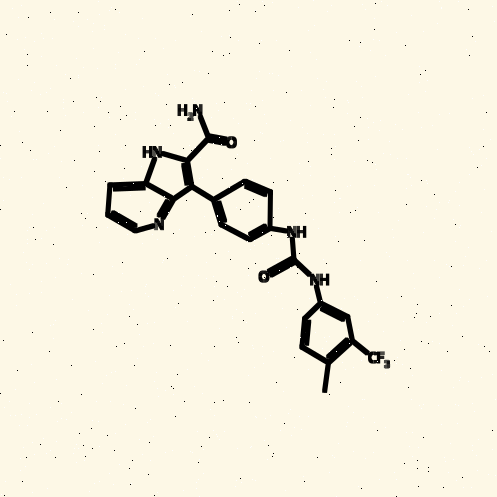 Cc1ccc(NC(=O)Nc2ccc(-c3c(C(N)=O)[nH]c4cccnc34)cc2)cc1C(F)(F)F